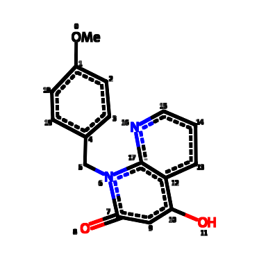 COc1ccc(Cn2c(=O)cc(O)c3cccnc32)cc1